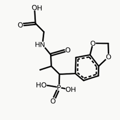 CC(C(=O)NCC(=O)O)C(c1ccc2c(c1)OCO2)P(=O)(O)O